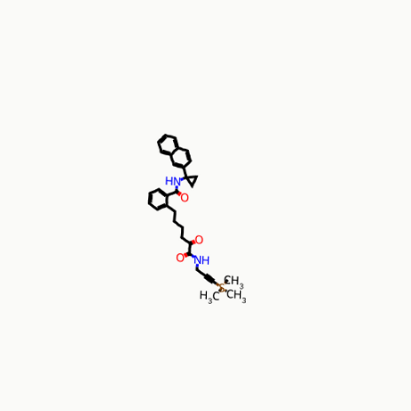 CS(C)(C)C#CCNC(=O)C(=O)CCCCc1ccccc1C(=O)NC1(c2ccc3ccccc3c2)CC1